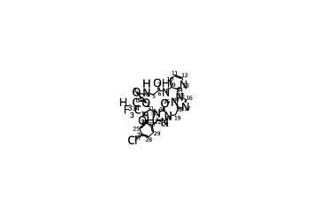 CS(=O)(=O)NCC(=O)Nc1cccnc1-n1cnc(Cn2nc(-c3ccc(Cl)cc3)n(C[C@H](O)C(F)(F)F)c2=O)n1